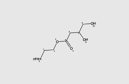 CCCCCCCCOC(=O)CC(O)CO